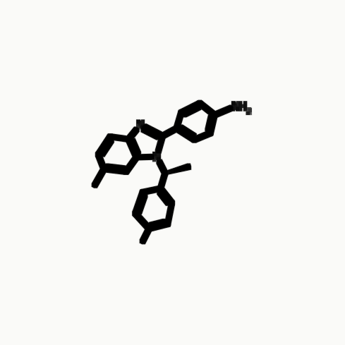 Cc1ccc([C@H](C)n2c(-c3ccc(N)cc3)nc3ccc(C)cc32)cc1